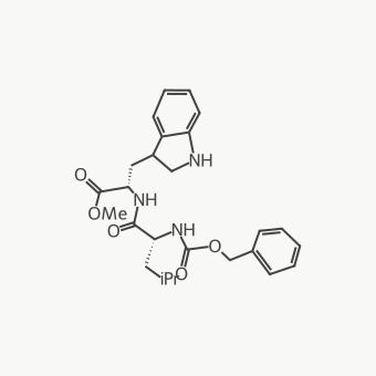 COC(=O)[C@H](CC1CNc2ccccc21)NC(=O)[C@@H](CC(C)C)NC(=O)OCc1ccccc1